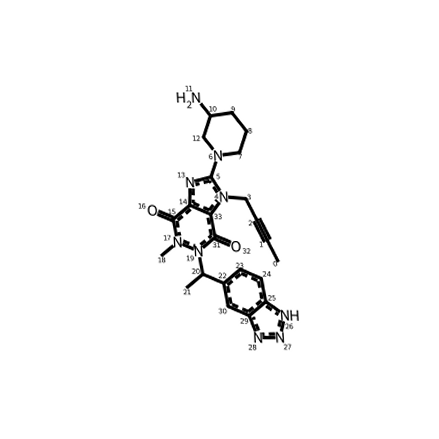 CC#CCn1c(N2CCCC(N)C2)nc2c(=O)n(C)n(C(C)c3ccc4[nH]nnc4c3)c(=O)c21